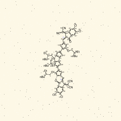 CCCCC(CC)COc1cc(/C=C2\C(=O)c3cc(Cl)c(Cl)cc3C2=C(C#N)C#N)sc1-c1cc2c(s1)-c1sc(-c3sc(/C=C4\C(=O)c5cc(Cl)c(Cl)cc5C4=C(C#N)C#N)cc3OCC(CC)CCCC)cc1[Si]2(CC(CC)CCCC)CC(CC)CCCC